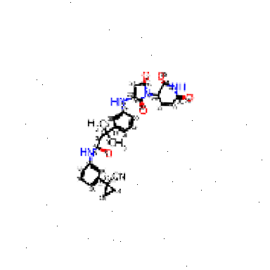 CC(C)(CC(=O)Nc1cccc(C2(C#N)CC2)c1)c1cccc(NC2=CC(=O)N(C3CCC(=O)NC3=O)C2=O)c1